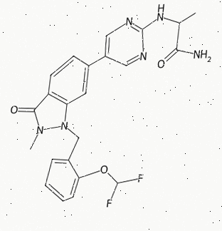 CC(Nc1ncc(-c2ccc3c(=O)n(C)n(Cc4ccccc4OC(F)F)c3c2)cn1)C(N)=O